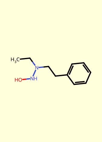 CCN(CCc1ccccc1)NO